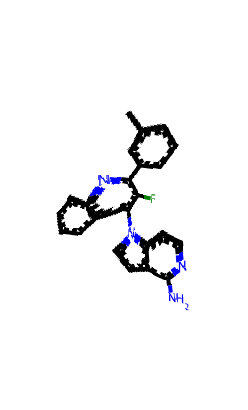 Cc1cccc(-c2nc3ccccc3c(-n3ccc4c(N)nccc43)c2F)c1